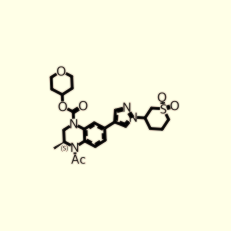 CC(=O)N1c2ccc(-c3cnn(C4CCCS(=O)(=O)C4)c3)cc2N(C(=O)OC2CCOCC2)C[C@@H]1C